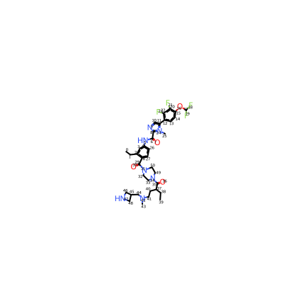 CCc1cc(NC(=O)c2ncc(-c3ccc(OC(F)F)c(F)c3F)n2C)ccc1C(=O)N1CCN(C(=O)C(CC)CCN(C)CC2CNC2)CC1